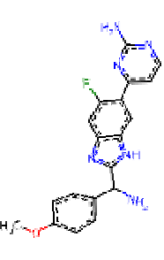 COc1ccc(C(N)c2nc3cc(F)c(-c4ccnc(N)n4)cc3[nH]2)cc1